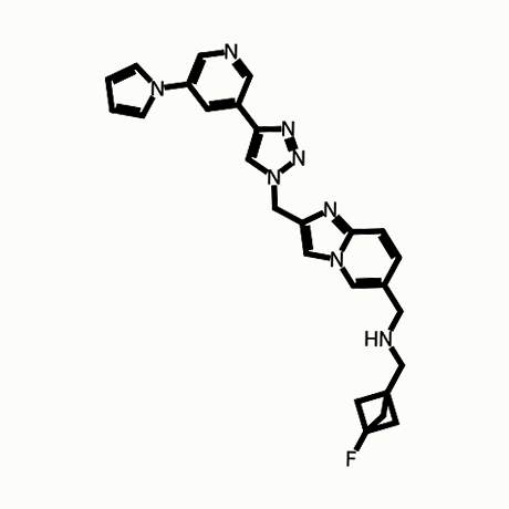 FC12CC(CNCc3ccc4nc(Cn5cc(-c6cncc(-n7cccc7)c6)nn5)cn4c3)(C1)C2